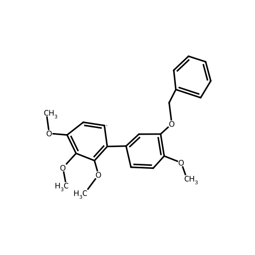 COc1ccc(-c2[c]cc(OC)c(OC)c2OC)cc1OCc1ccccc1